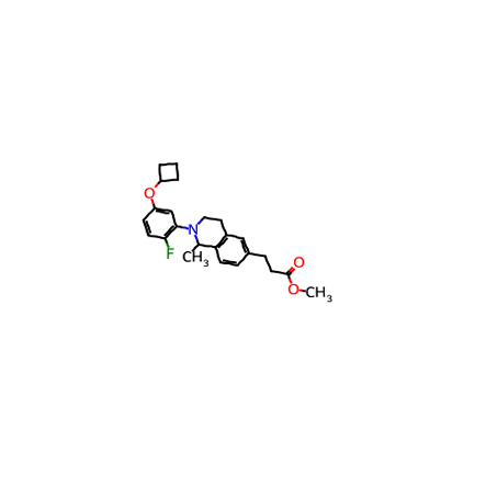 COC(=O)CCc1ccc2c(c1)CCN(c1cc(OC3CCC3)ccc1F)C2C